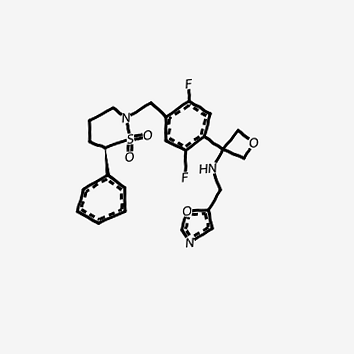 O=S1(=O)[C@@H](c2ccccc2)CCCN1Cc1cc(F)c(C2(NCc3cnco3)COC2)cc1F